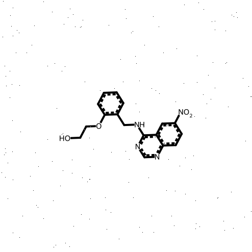 O=[N+]([O-])c1ccc2ncnc(NCc3ccccc3OCCO)c2c1